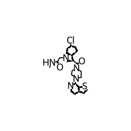 CNC(=O)Cn1cc(C(=O)N2CCN(c3nccc4ccsc34)CC2)c2ccc(Cl)cc21